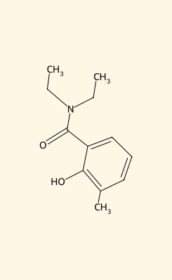 CCN(CC)C(=O)c1cccc(C)c1O